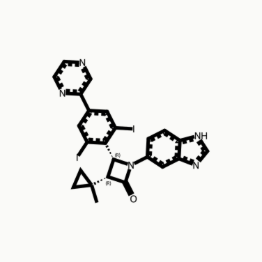 CC1([C@H]2C(=O)N(c3ccc4[nH]cnc4c3)[C@H]2c2c(I)cc(-c3cnccn3)cc2I)CC1